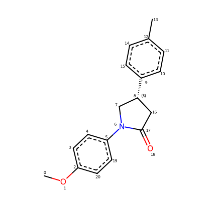 COc1ccc(N2C[C@H](c3ccc(C)cc3)CC2=O)cc1